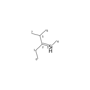 CCC(=[SiH]C)C(C)C